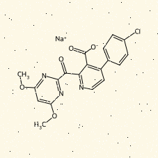 COc1cc(OC)nc(C(=O)c2nccc(-c3ccc(Cl)cc3)c2C(=O)[O-])n1.[Na+]